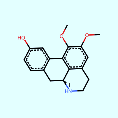 COc1cc2c3c(c1OC)-c1cc(O)ccc1C[C@H]3NCC2